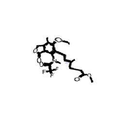 COC(=O)CC/C(C)=C/Cc1c(OC)c(C)c2c(c1N(C)C(=O)C(F)(F)F)C(=O)OC2